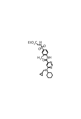 CCOC(=O)CNS(=O)(=O)c1ccc(NC(=O)c2cc(N(CC3CC3)C3CCCCC3)ncn2)c(C)c1